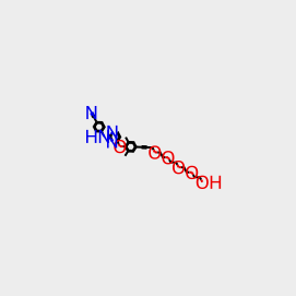 Cc1cc(C#CCOCCOCCOCCOCCO)cc(C)c1Oc1ccnc(Nc2ccc(C#N)cc2)n1